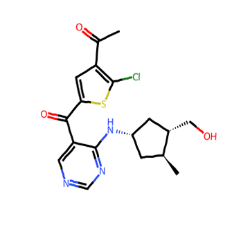 CC(=O)c1cc(C(=O)c2cncnc2N[C@@H]2C[C@H](CO)[C@@H](C)C2)sc1Cl